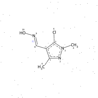 Cc1nn(C)c(Cl)c1/C=N/O